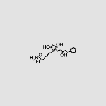 CCC(CCC=CC[C@@H]1[C@@H](C=C[C@H](O)CCc2ccccc2)[C@H](O)C[C@@H]1O)C(N)=O